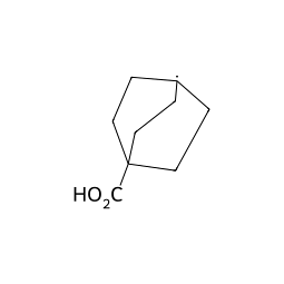 O=C(O)C12CC[C](CC1)CC2